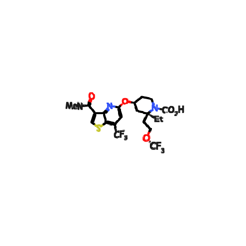 CC[C@@]1(CCOC(F)(F)F)C[C@@H](Oc2cc(C(F)(F)F)c3scc(C(=O)NC)c3n2)CCN1C(=O)O